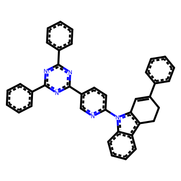 C1=C(c2ccccc2)CCc2c1n(-c1ccc(-c3nc(-c4ccccc4)nc(-c4ccccc4)n3)cn1)c1ccccc21